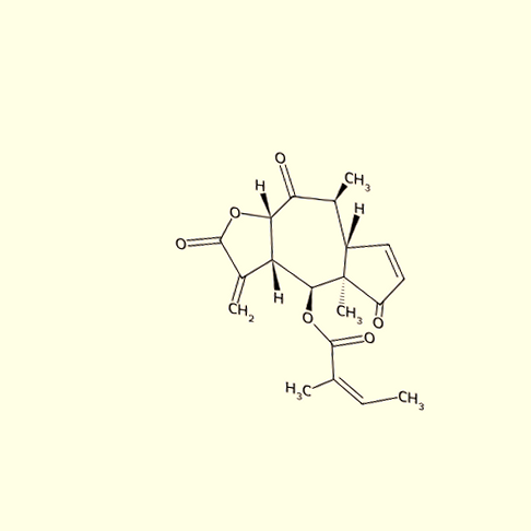 C=C1C(=O)O[C@@H]2C(=O)[C@@H](C)[C@@H]3C=CC(=O)[C@@]3(C)[C@@H](OC(=O)/C(C)=C\C)[C@H]12